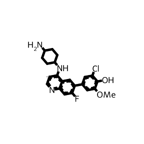 COc1cc(-c2cc3c(NC4CCC(N)CC4)[c]cnc3cc2F)cc(Cl)c1O